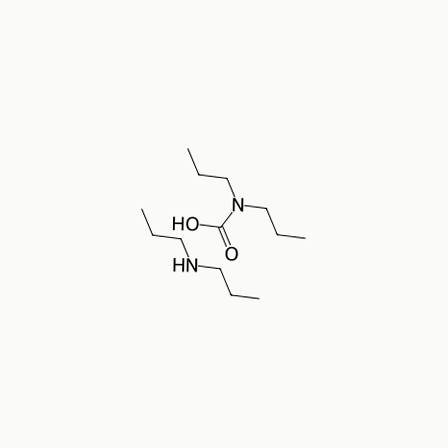 CCCN(CCC)C(=O)O.CCCNCCC